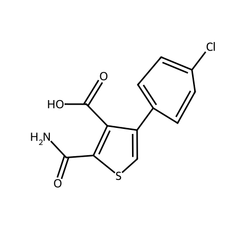 NC(=O)c1scc(-c2ccc(Cl)cc2)c1C(=O)O